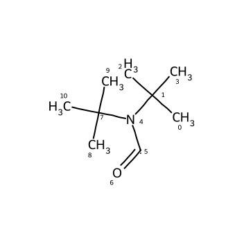 CC(C)(C)N([C]=O)C(C)(C)C